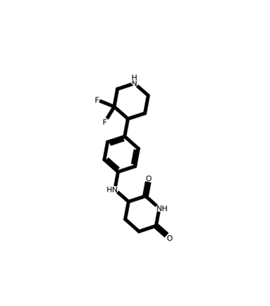 O=C1CCC(Nc2ccc(C3CCNCC3(F)F)cc2)C(=O)N1